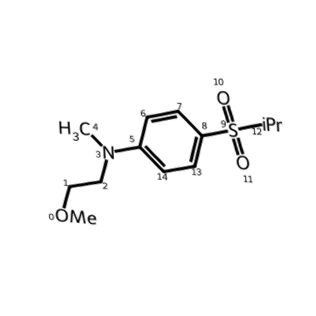 COCCN(C)c1ccc(S(=O)(=O)C(C)C)cc1